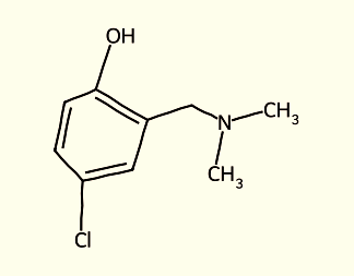 CN(C)Cc1cc(Cl)ccc1O